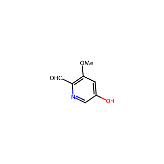 COc1cc(O)cnc1C=O